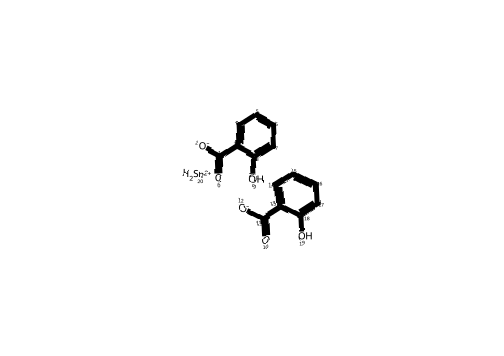 O=C([O-])c1ccccc1O.O=C([O-])c1ccccc1O.[SnH2+2]